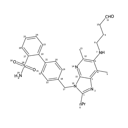 CCCc1nc2c(C)c(NCCCC=O)c(C)nc2n1Cc1ccc(-c2ccccc2S(N)(=O)=O)cc1